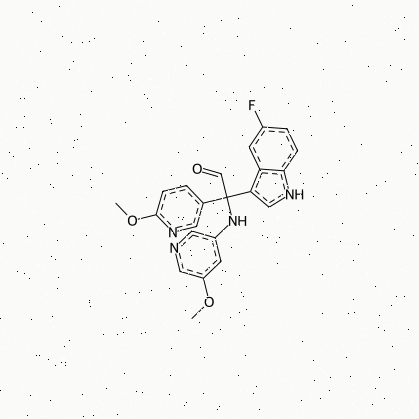 COc1cncc(NC(C=O)(c2ccc(OC)nc2)c2c[nH]c3ccc(F)cc23)c1